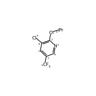 CC(C)Oc1ncc(C(F)(F)F)cc1Cl